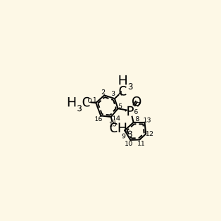 Cc1cc(C)c([P](=O)c2ccccc2)c(C)c1